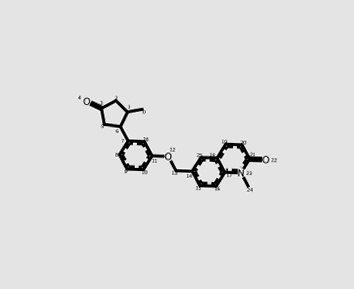 CC1CC(=O)CC1c1cccc(OCc2ccc3c(ccc(=O)n3C)c2)c1